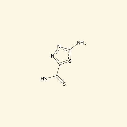 Nc1nnc(C(=S)S)s1